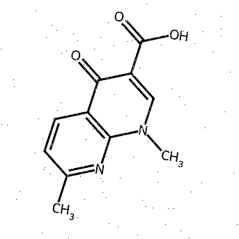 Cc1ccc2c(=O)c(C(=O)O)cn(C)c2n1